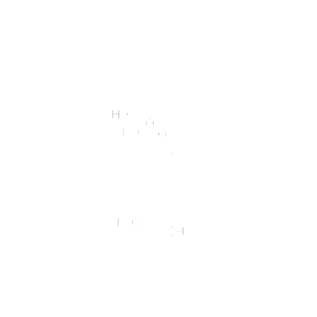 COc1ccccc1CC1(OC)CCC(C(C)C)CC1